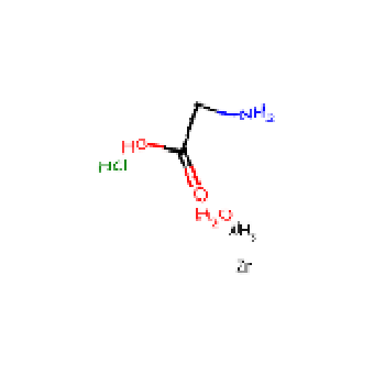 Cl.NCC(=O)O.O.[AlH3].[Zr]